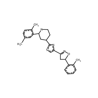 Cc1ccc(C)c(C2CC(c3nc(C4=NOC(c5ccccc5C)C4)cs3)CC[N]2)c1